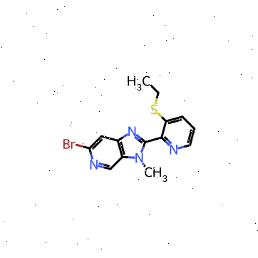 CCSc1cccnc1-c1nc2cc(Br)ncc2n1C